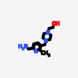 Cc1nc(CN)ccc1CN1CCN(CCO)CC1